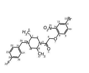 CC1CN(C(=O)COc2ccc(Br)cc2[N+](=O)[O-])C(C)CN1Cc1ccc(F)cc1